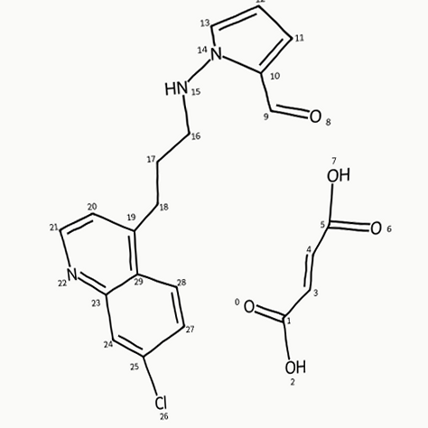 O=C(O)C=CC(=O)O.O=Cc1cccn1NCCCc1ccnc2cc(Cl)ccc12